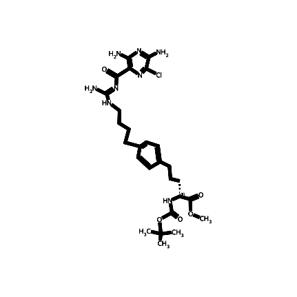 COC(=O)[C@@H](CCCc1ccc(CCCCNC(N)=NC(=O)c2nc(Cl)c(N)nc2N)cc1)NC(=O)OC(C)(C)C